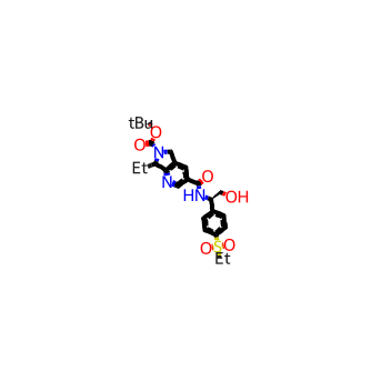 CCC1c2ncc(C(=O)N[C@@H](CO)c3ccc(S(=O)(=O)CC)cc3)cc2CN1C(=O)OC(C)(C)C